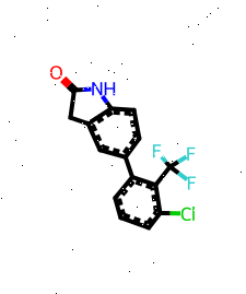 O=C1Cc2cc(-c3cccc(Cl)c3C(F)(F)F)ccc2N1